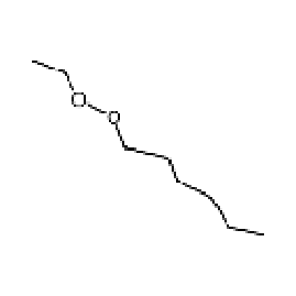 CCCCCCOOCC